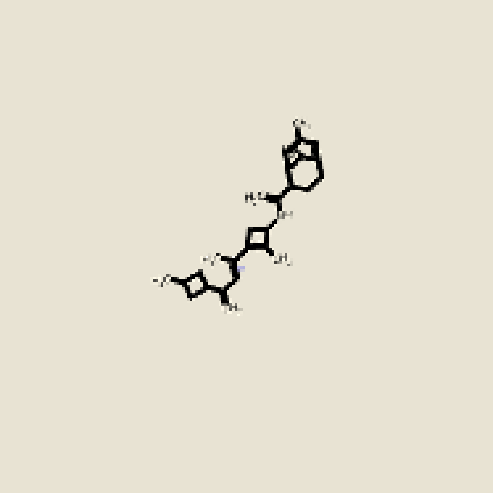 C=C(/C=C(\C)C1=C(C)C(NC(=C)C2CCC3=CC(C)=CC2C3C)C1)C1CC(C)C1